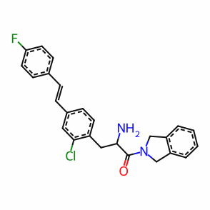 NC(Cc1ccc(C=Cc2ccc(F)cc2)cc1Cl)C(=O)N1Cc2ccccc2C1